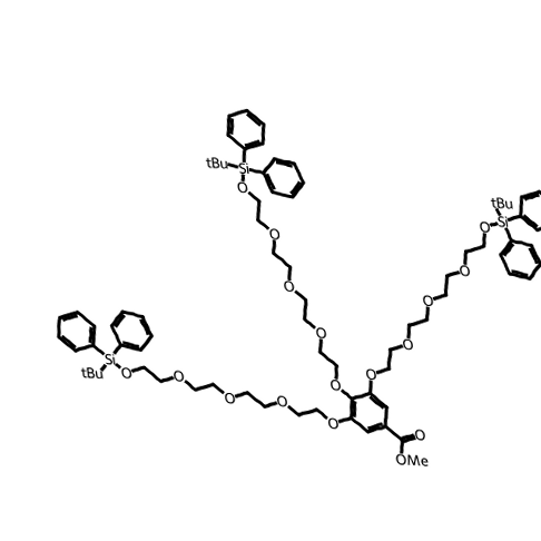 COC(=O)c1cc(OCCOCCOCCOCCO[Si](c2ccccc2)(c2ccccc2)C(C)(C)C)c(OCCOCCOCCOCCO[Si](c2ccccc2)(c2ccccc2)C(C)(C)C)c(OCCOCCOCCOCCO[Si](c2ccccc2)(c2ccccc2)C(C)(C)C)c1